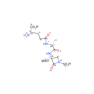 CO[C@]1(NC(=O)[C@@H](C)NC(=O)CC[C@H](N)C(=O)O)CN(S(=O)(=O)O)C1=O